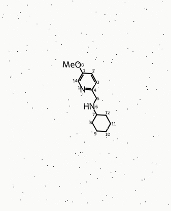 COc1ccc(CNC2CCCCC2)nc1